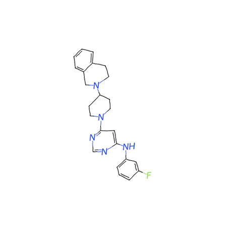 Fc1cccc(Nc2cc(N3CCC(N4CCc5ccccc5C4)CC3)ncn2)c1